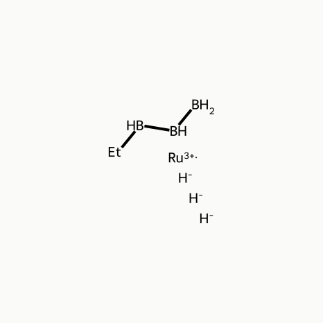 BBBCC.[H-].[H-].[H-].[Ru+3]